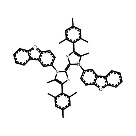 CC1=C(c2c(C)cc(C)cc2C)S/C(=C2/SC(c3c(C)cc(C)cc3C)=C(C)N2c2ccc3oc4ccccc4c3c2)N1c1ccc2oc3ccccc3c2c1